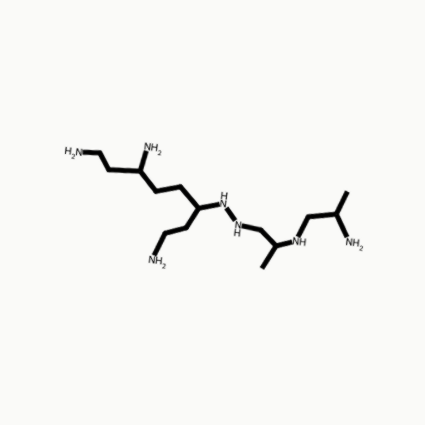 CC(N)CNC(C)CNNC(CCN)CCC(N)CCN